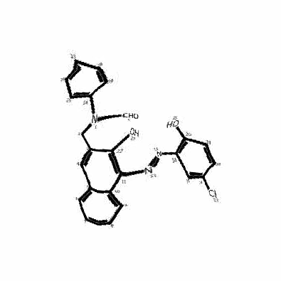 O=CN(Cc1cc2ccccc2c(N=Nc2cc(Cl)ccc2O)c1O)c1ccccc1